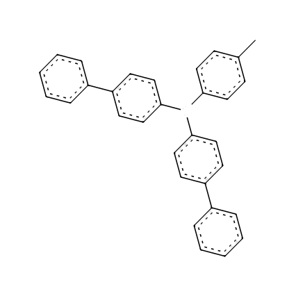 Cc1ccc([S+](c2ccc(-c3ccccc3)cc2)c2ccc(-c3ccccc3)cc2)cc1